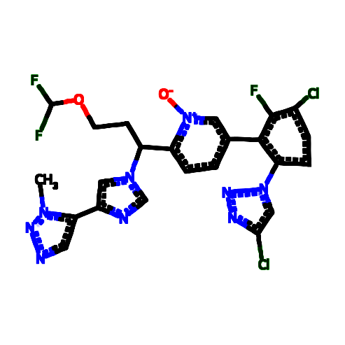 Cn1nncc1-c1cn(C(CCOC(F)F)c2ccc(-c3c(-n4cc(Cl)nn4)ccc(Cl)c3F)c[n+]2[O-])cn1